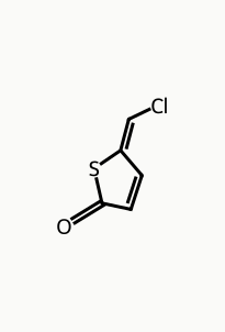 O=C1C=CC(=CCl)S1